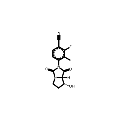 Cc1c(N2C(=O)[C@@H]3[C@H](O)CCN3C2=O)ccc(C#N)c1F